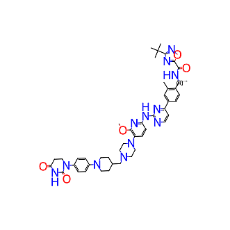 COc1nc(Nc2nccc(-c3ccc([C@@H](C)NC(=O)c4nc(C(C)(C)C)no4)c(C)c3)n2)ccc1N1CCN(CC2CCN(c3ccc(N4CCC(=O)NC4=O)cc3)CC2)CC1